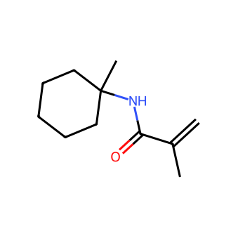 C=C(C)C(=O)NC1(C)CCCCC1